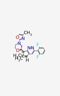 Cc1coc(N2CCO[C@H]([C@@]34CC[C@@H](c5cc(-c6c(F)cccc6F)nnc53)C4(C)C)C2)n1